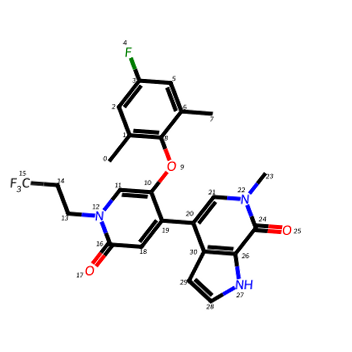 Cc1cc(F)cc(C)c1Oc1cn(CCC(F)(F)F)c(=O)cc1-c1cn(C)c(=O)c2[nH]ccc12